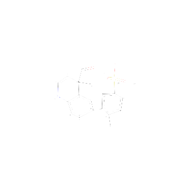 CC1(C=O)C=C[N]c2ccccc21.Cc1ccc(S(=O)(=O)O)cc1